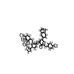 CC(C)(C)OC(=O)n1cccc1-c1ccc(=O)n(Cc2ccc(Cl)cc2)c1.Cn1ccc2cc(-c3ccc(=O)n(Cc4ccc(Cl)cc4)c3)ccc21